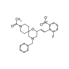 CC(=O)N1CCC2(CC1)CN(Cc1ccccc1)CC(C=Cc1c(F)cccc1[N+](=O)[O-])O2